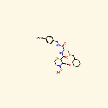 COc1ccc(CNC(=O)[C@H](CSCC2CCCCC2)NC(=O)C2SCCN(OC(C)(C)C)C2=C=O)cc1